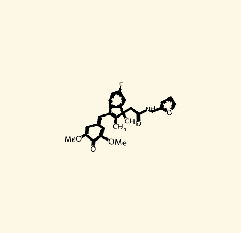 COC1=CC(=CC2=C(C)C(C)(CC(=O)NCc3ccco3)c3cc(F)ccc32)C=C(OC)C1=O